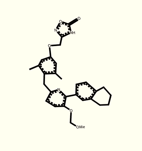 COCOc1ccc(Cc2c(C)cc(OCc3noc(=O)[nH]3)cc2C)nc1-c1ccc2c(c1)CCCC2